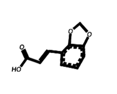 O=C(O)/C=C/c1cccc2c1OCO2